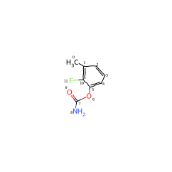 Cc1cccc(OC(N)=O)c1F